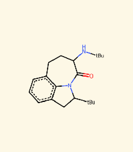 CC(C)(C)NC1CCc2cccc3c2N(C1=O)C(C(C)(C)C)C3